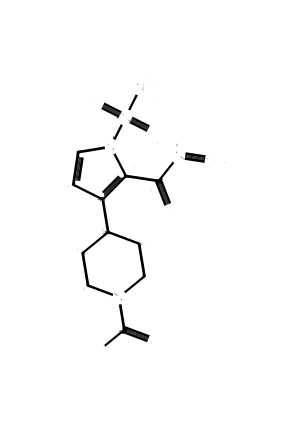 CC(=O)N1CCC(c2ccn(S(N)(=O)=O)c2C(=O)N=O)CC1